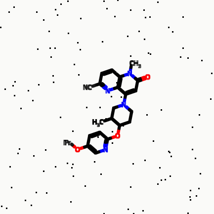 CC(C)Oc1ccc(OC2CCN(c3cc(=O)n(C)c4ccc(C#N)nc34)CC2C)nc1